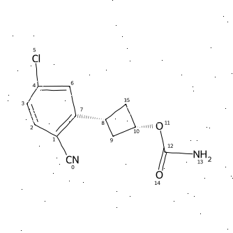 N#Cc1ccc(Cl)cc1[C@H]1C[C@@H](OC(N)=O)C1